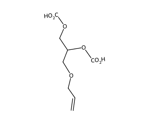 C=CCOCC(COC(=O)O)OC(=O)O